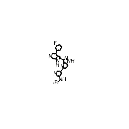 CC(C)Nc1cncc(-c2ccc3[nH]nc(-c4cc5c(-c6cccc(F)c6)cncc5[nH]4)c3n2)c1